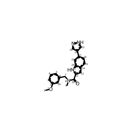 COc1cccc(CN(C)C(=O)c2cc3ccc(-c4cn[nH]c4)cc3[nH]2)c1